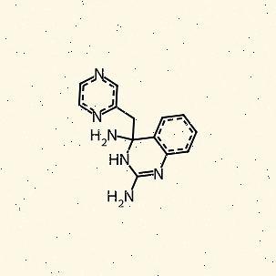 NC1=Nc2ccccc2C(N)(Cc2cnccn2)N1